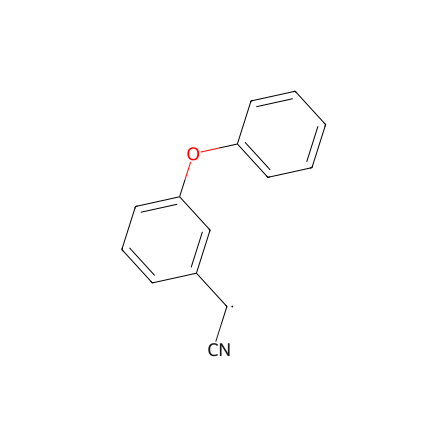 N#C[CH]c1cccc(Oc2ccccc2)c1